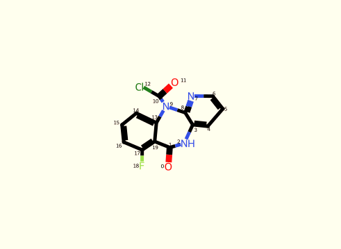 O=C1Nc2cccnc2N(C(=O)Cl)c2cccc(F)c21